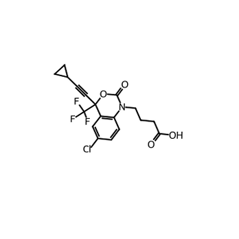 O=C(O)CCCN1C(=O)OC(C#CC2CC2)(C(F)(F)F)c2cc(Cl)ccc21